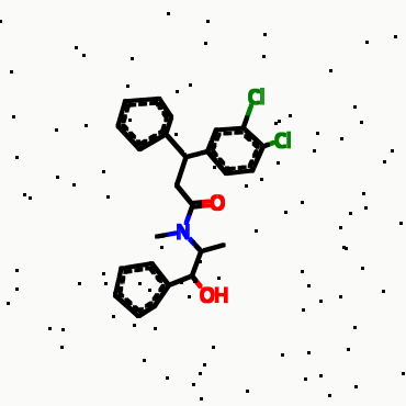 CC(C(O)c1ccccc1)N(C)C(=O)CC(c1ccccc1)c1ccc(Cl)c(Cl)c1